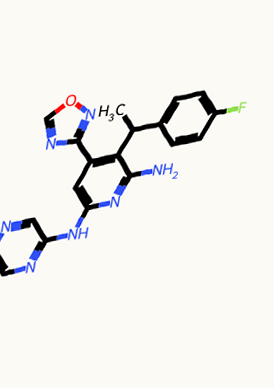 CC(c1ccc(F)cc1)c1c(-c2ncon2)cc(Nc2cnccn2)nc1N